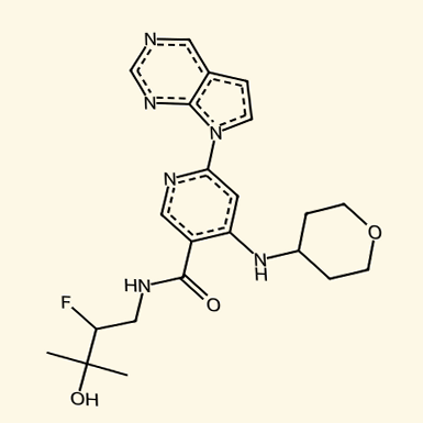 CC(C)(O)C(F)CNC(=O)c1cnc(-n2ccc3cncnc32)cc1NC1CCOCC1